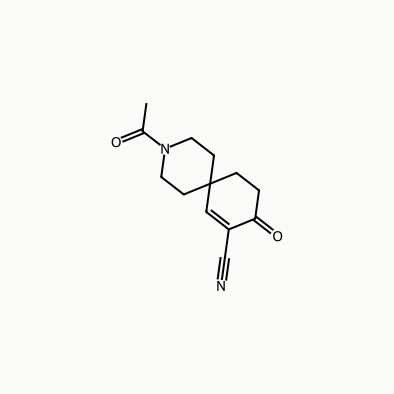 CC(=O)N1CCC2(C=C(C#N)C(=O)CC2)CC1